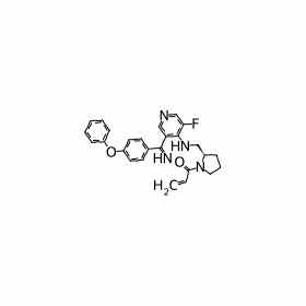 C=CC(=O)N1CCC[C@@H]1CNc1c(F)cncc1C(=N)c1ccc(Oc2ccccc2)cc1